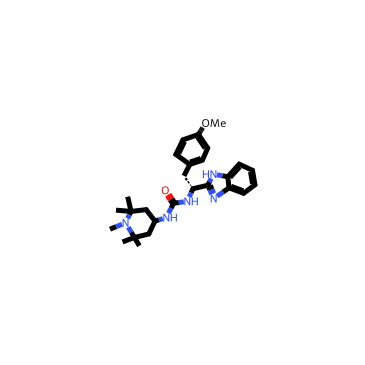 COc1ccc(C[C@@H](NC(=O)NC2CC(C)(C)N(C)C(C)(C)C2)c2nc3ccccc3[nH]2)cc1